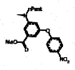 CCCCCN(C)c1cc(Oc2ccc([N+](=O)[O-])cc2)cc(C(=O)OC)c1